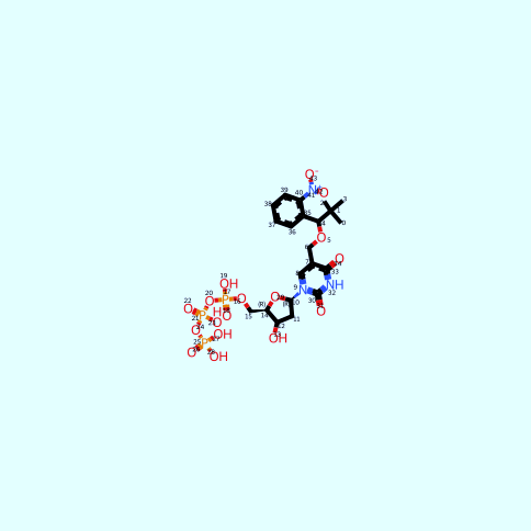 CC(C)(C)C(OCc1cn([C@H]2CC(O)[C@@H](COP(=O)(O)OP(=O)(O)OP(=O)(O)O)O2)c(=O)[nH]c1=O)c1ccccc1[N+](=O)[O-]